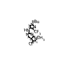 CCCCn1cc(Nc2ncc3c(Cl)cn(C)c3n2)c(C(F)(F)F)n1